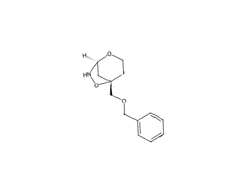 c1ccc(COC[C@]23CCO[C@@H](C2)NO3)cc1